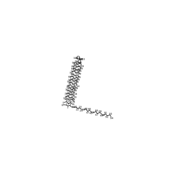 CCCCC.CCCCC.CCCCC.CCCCC.CCCCC.CCCCC.CCCCC.CCCCC.CCCCC.CCCCC.CCCCC.CCCCC.CCCCC.CCCCC.CCCCC.CCCCC.CCCCC.CCCCC.CCCCC.CCCCC.COC(C)=O